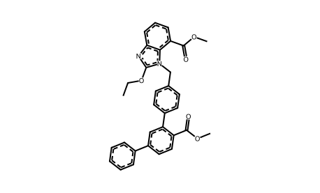 CCOc1nc2cccc(C(=O)OC)c2n1Cc1ccc(-c2cc(-c3ccccc3)ccc2C(=O)OC)cc1